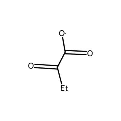 CCC(=O)C([O])=O